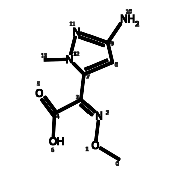 CON=C(C(=O)O)c1cc(N)nn1C